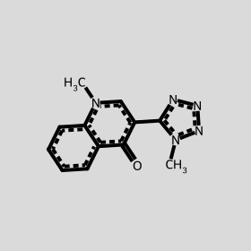 Cn1nnnc1-c1cn(C)c2ccccc2c1=O